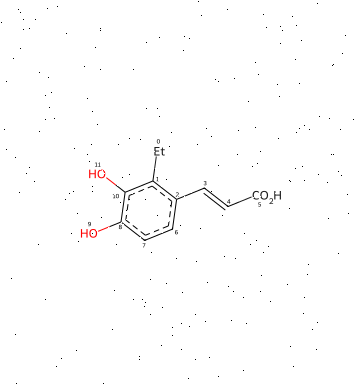 CCc1c(C=CC(=O)O)ccc(O)c1O